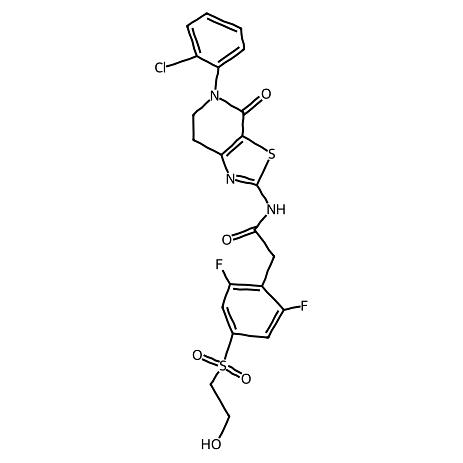 O=C(Cc1c(F)cc(S(=O)(=O)CCO)cc1F)Nc1nc2c(s1)C(=O)N(c1ccccc1Cl)CC2